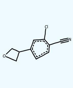 N#Cc1ccc(C2COC2)cc1Cl